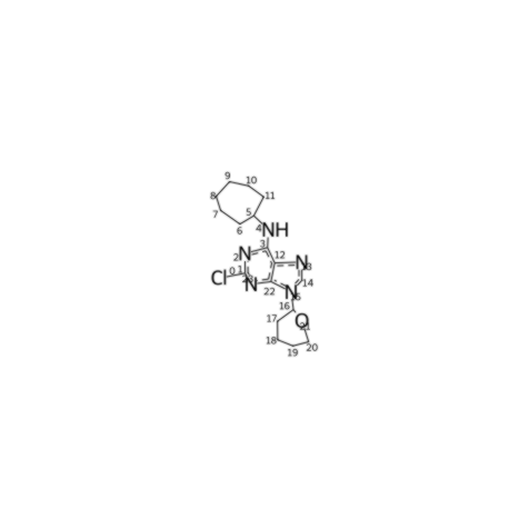 Clc1nc(NC2CCCCCC2)c2ncn(C3CCCCO3)c2n1